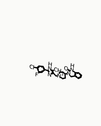 Cc1[nH]c(-c2ccc(Cl)c(F)c2)nc1CN1CCC(N2Cc3ccccc3NC2=O)CC1